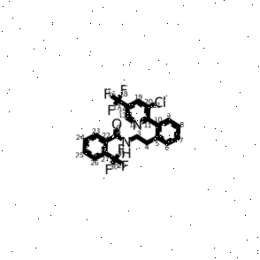 O=C(NCCc1ccccc1-c1ncc(C(F)(F)F)cc1Cl)c1ccccc1C(F)(F)F